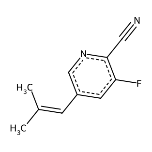 CC(C)=Cc1cnc(C#N)c(F)c1